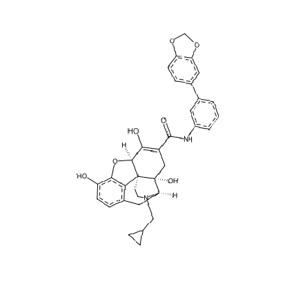 O=C(Nc1cccc(-c2ccc3c(c2)OCO3)c1)C1=C(O)[C@@H]2Oc3c(O)ccc4c3[C@@]23CCN(CC2CC2)[C@H](C4)[C@]3(O)C1